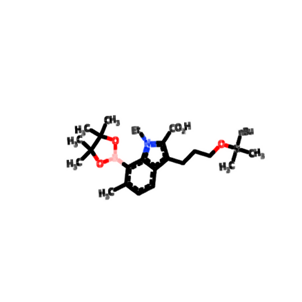 CCCC[Si](C)(C)OCCCc1c(C(=O)O)n(CC)c2c(B3OC(C)(C)C(C)(C)O3)c(C)ccc12